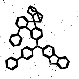 c1ccc(-c2ccc(N(c3ccc4c(c3)-c3c(-c5ccccc5)cccc3C43C4CC5CC(C4)C3C5)c3ccc4c(c3)oc3ccccc34)cc2)cc1